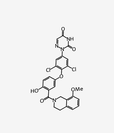 COc1cccc2c1CN(C(=O)c1cc(Oc3c(Cl)cc(-n4ncc(=O)[nH]c4=O)cc3Cl)ccc1O)CC2